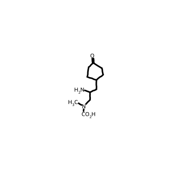 CN(CC(N)CC1CCC(=O)CC1)C(=O)O